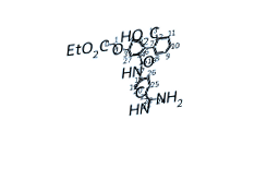 CCOC(=O)COc1ccc(-c2ccccc2C(=O)O)c(C(=O)Nc2ccc(C(=N)N)cc2)c1